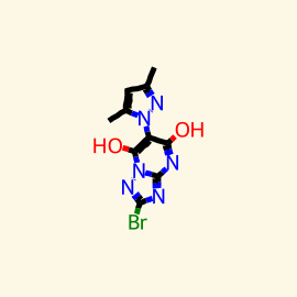 Cc1cc(C)n(-c2c(O)nc3nc(Br)nn3c2O)n1